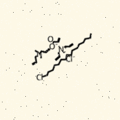 C=CC(=O)[O-].C=CC[N+](C)(C)CC=C.C=CC[N+](C)(C)CC=C.CCCCCCCCCCCCCCCCCl.[Cl-]